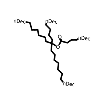 CCCCCCCCCCCCCCCCCC(CCCCCCCCCCCCCC)(CCCCCCCCCCCCCCCC)OC(=O)CCCCCCCCCCCCC